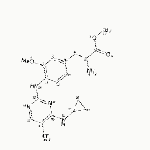 COc1cc(CC(N)C(=O)OC(C)(C)C)ccc1Nc1ncc(C(F)(F)F)c(NC2CC2)n1